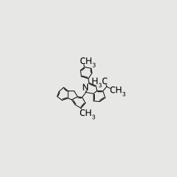 Cc1ccc(-c2cc3c(C(C)C)cccc3c(-c3cc(C)cc4c3Cc3ccccc3-4)n2)cc1